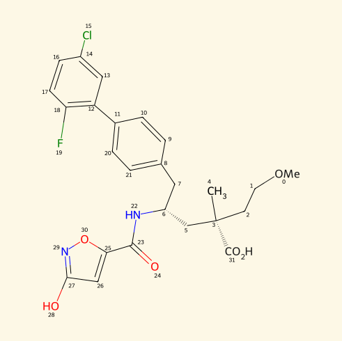 COCC[C@](C)(C[C@@H](Cc1ccc(-c2cc(Cl)ccc2F)cc1)NC(=O)c1cc(O)no1)C(=O)O